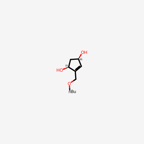 CCCCOCC1=C[C@H](O)C[C@@H]1O